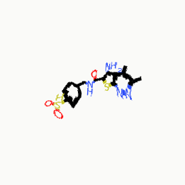 Cc1nnc2sc(C(=O)NCc3ccc([SH](=O)=O)cc3)c(N)c2c1C